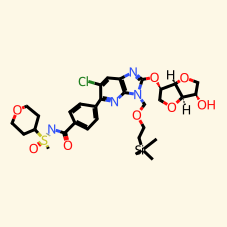 C[Si](C)(C)CCOCn1c(O[C@@H]2CO[C@H]3[C@@H]2OC[C@H]3O)nc2cc(Cl)c(-c3ccc(C(=O)N=S(C)(=O)C4CCOCC4)cc3)nc21